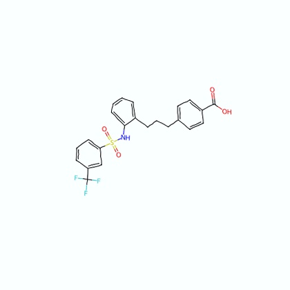 O=C(O)c1ccc(CCCc2ccccc2NS(=O)(=O)c2cccc(C(F)(F)F)c2)cc1